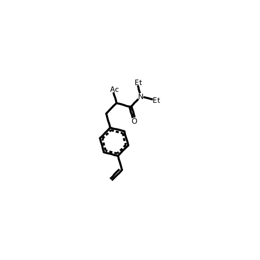 C=Cc1ccc(CC(C(C)=O)C(=O)N(CC)CC)cc1